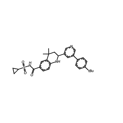 CC(C)(C)c1ccc(-c2cncc(C3CC(C)(C)c4cc(C(=O)NS(=O)(=O)C5CC5)ccc4N3)c2)cc1